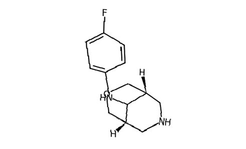 Fc1ccc(NC2[C@@H]3CNC[C@H]2COC3)cc1